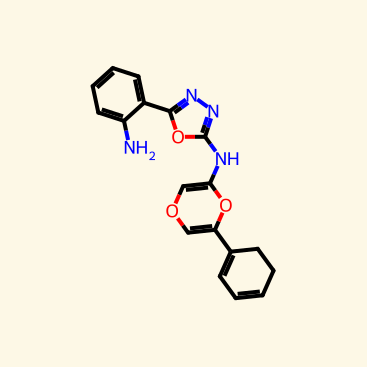 Nc1ccccc1-c1nnc(NC2=COC=C(C3=CC=CCC3)O2)o1